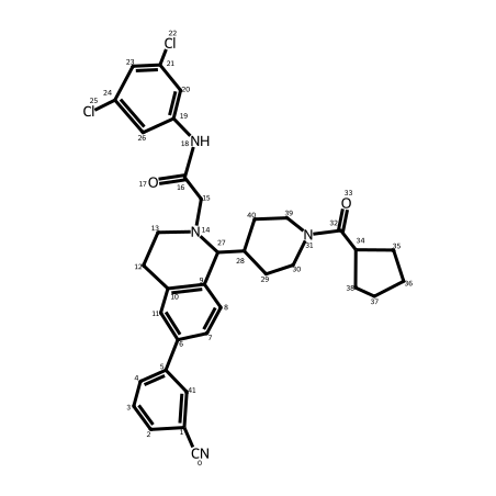 N#Cc1cccc(-c2ccc3c(c2)CCN(CC(=O)Nc2cc(Cl)cc(Cl)c2)C3C2CCN(C(=O)C3CCCC3)CC2)c1